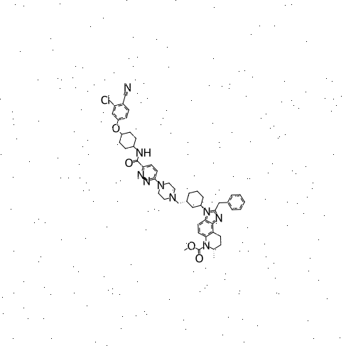 COC(=O)N1c2ccc3c(nc(Cc4ccccc4)n3[C@@H]3CCC[C@@H](CN4CCN(c5ccc(C(=O)NC6CCC(Oc7ccc(C#N)c(Cl)c7)CC6)nn5)CC4)C3)c2CC[C@@H]1C